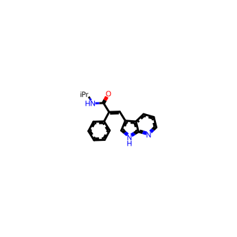 CC(C)NC(=O)C(=Cc1c[nH]c2ncccc12)c1ccccc1